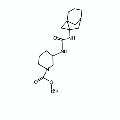 CC(C)(C)OC(=O)N1CCCC(NC(=O)NC23CC4CCCC2(C4)C3)C1